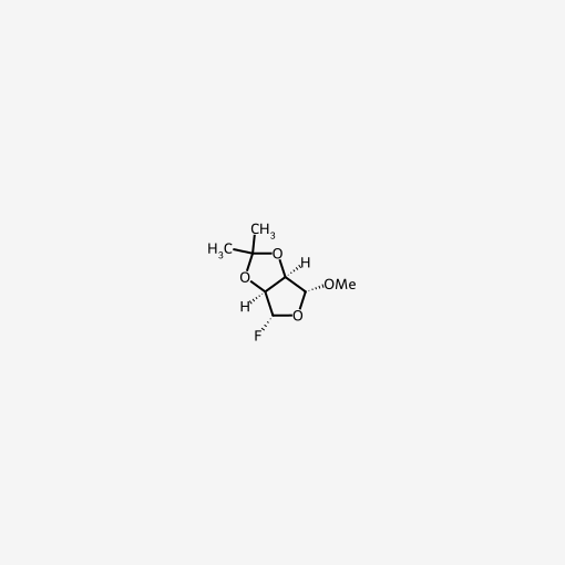 CO[C@@H]1O[C@H](F)[C@H]2OC(C)(C)O[C@@H]12